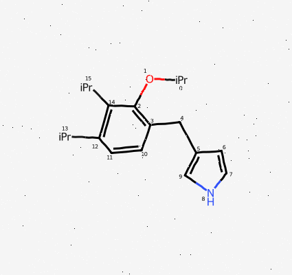 CC(C)Oc1c(Cc2cc[nH]c2)ccc(C(C)C)c1C(C)C